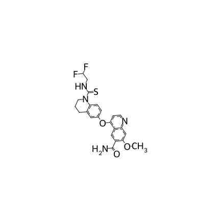 COc1cc2nccc(Oc3ccc4c(c3)CCCN4C(=S)NCC(F)F)c2cc1C(N)=O